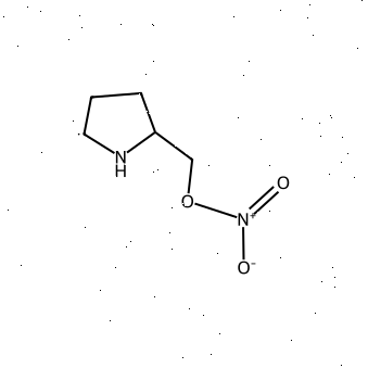 O=[N+]([O-])OCC1CC[CH]N1